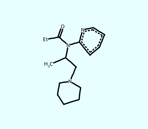 CCC(=O)N(c1ccccn1)C(C)CN1CCCCC1